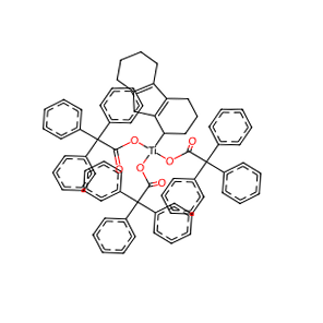 O=C([O][Ti]([O]C(=O)C(c1ccccc1)(c1ccccc1)c1ccccc1)([O]C(=O)C(c1ccccc1)(c1ccccc1)c1ccccc1)[CH]1CCCC2=C1CC1=C2CCCC1)C(c1ccccc1)(c1ccccc1)c1ccccc1